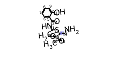 C=C(NC(=O)c1ccccc1O)S/C(=C\N)S(C)(=O)=O